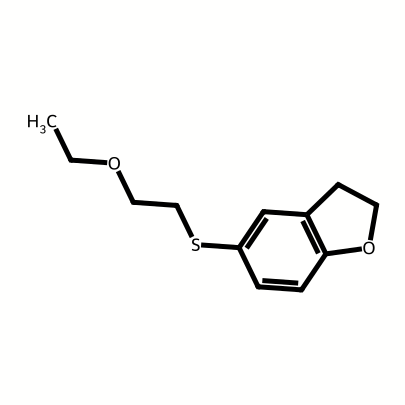 CCOCCSc1ccc2c(c1)CCO2